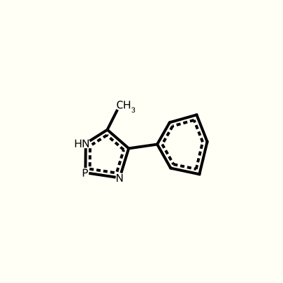 Cc1[nH]pnc1-c1ccccc1